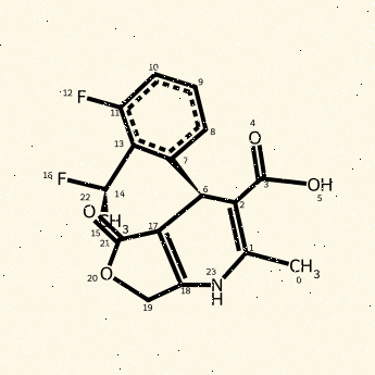 CC1=C(C(=O)O)[C@H](c2cccc(F)c2[C@@H](C)F)C2=C(COC2=O)N1